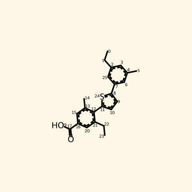 CCc1cc(C)cc(-c2ccc(-c3c(C)cc(C(=O)O)cc3CC)s2)c1